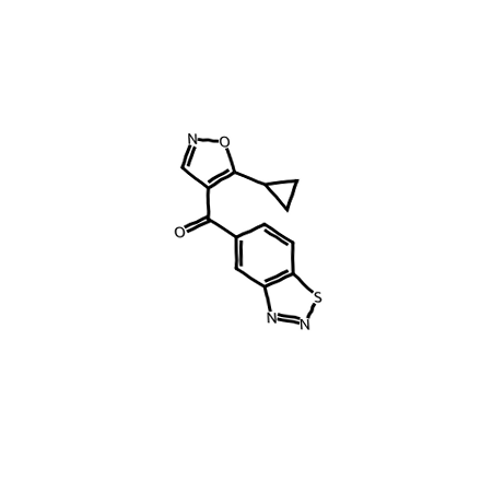 O=C(c1ccc2snnc2c1)c1cnoc1C1CC1